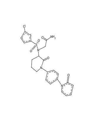 NC(=O)CN(C1CCCN(c2ccc(-n3ccccc3=O)cc2)C1=O)S(=O)(=O)c1ccc(Cl)s1